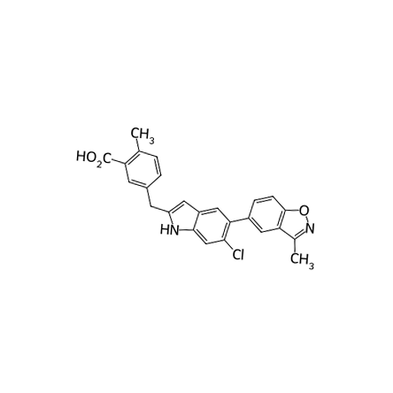 Cc1ccc(Cc2cc3cc(-c4ccc5onc(C)c5c4)c(Cl)cc3[nH]2)cc1C(=O)O